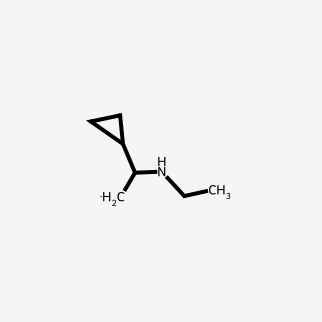 [CH2]C(NCC)C1CC1